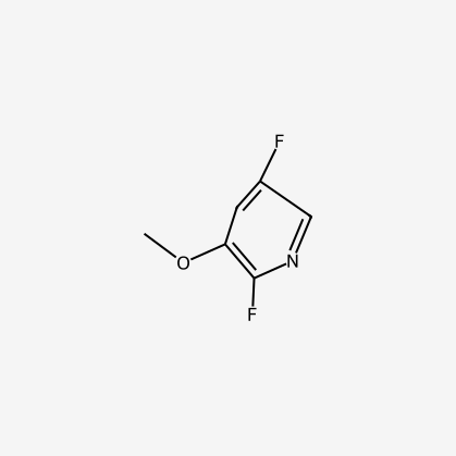 COc1cc(F)cnc1F